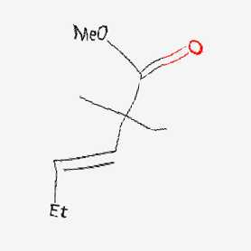 CCC=CC(C)(C)C(=O)OC